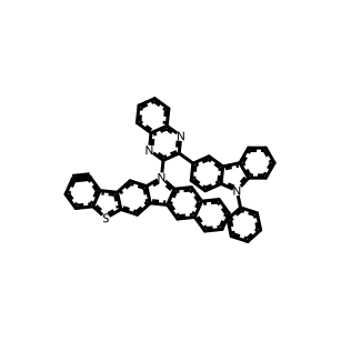 c1ccc2sc3cc4c5cc6ccccc6cc5n(-c5nc6ccccc6nc5-c5ccc6c(c5)c5ccccc5n6-c5ccccc5)c4cc3c2c#1